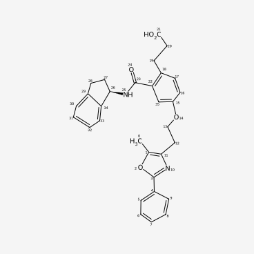 Cc1oc(-c2ccccc2)nc1CCOc1ccc(CCC(=O)O)c(C(=O)N[C@@H]2CCc3ccccc32)c1